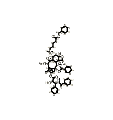 CC(=O)O[C@H]1C(=O)[C@@]2(C)C([C@H](OC(=O)c3ccccc3)[C@]3(O)C[C@H](OC(=O)[C@H](O)[C@@H](NC(=O)c4ccccc4)c4ccccc4)C(C)=C1C3(C)C)[C@]1(OC(C)=O)CO[C@@H]1C[C@@H]2O[Si](C)(C)CCCCC(=O)OCc1ccccc1